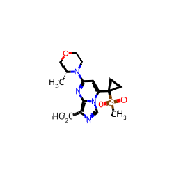 C[C@@H]1COCCN1c1cc(C2(S(C)(=O)=O)CC2)n2cnc(C(=O)O)c2n1